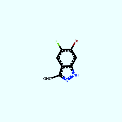 O=Cc1n[nH]c2cc(Br)c(F)cc12